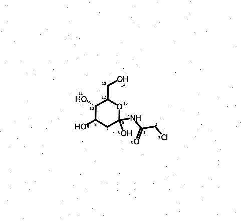 O=C(CCl)NC1(O)CC(O)[C@H](O)C(CO)O1